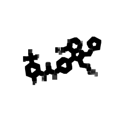 COCC1=C(CN2CCCC2)N2N=CN=C(N)C2C1c1ccc(NC(=O)Nc2cc(C(F)(F)F)ccc2F)cc1